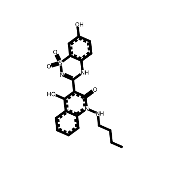 CCCCNn1c(=O)c(C2=NS(=O)(=O)c3cc(O)ccc3N2)c(O)c2ccccc21